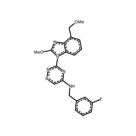 COCc1cccc2c1nc(OC)n2-c1nncc(NCc2cccc(F)c2)n1